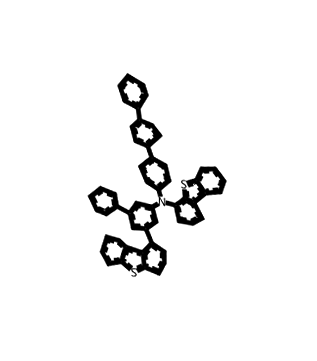 c1ccc(-c2ccc(-c3ccc(N(c4cc(-c5ccccc5)cc(-c5cccc6sc7ccccc7c56)c4)c4cccc5c4sc4ccccc45)cc3)cc2)cc1